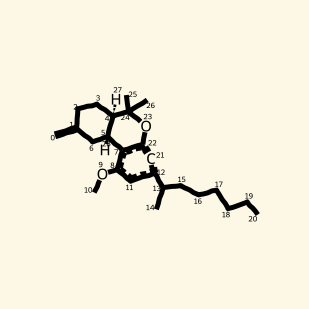 C=C1CC[C@@H]2[C@@H](C1)c1c(OC)cc(C(C)CCCCCC)cc1OC2(C)C